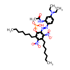 CCCCCCCc1c(O[PH](=O)O)c(N=Nc2ccc(N(CC)CC)cc2NC(C)=O)c([N+](=O)[O-])c(CCCCCCC)c1[N+](=O)[O-]